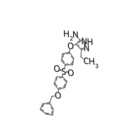 CCc1n[nH]c(N)c1Oc1ccc(S(=O)(=O)c2ccc(OCc3ccccc3)cc2)cc1